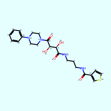 O=C(NCCCNC(=O)[C@H](O)[C@@H](O)C(=O)N1CCN(c2ccccc2)CC1)c1ccsc1